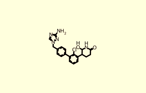 Nc1ncn(Cc2ccc(-c3cccc(C4CCC(=O)NC4O)c3Cl)cc2)n1